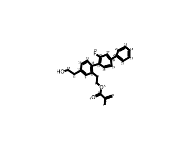 C=C(C)C(=O)OCCc1cc(CCO)ccc1-c1ccc(-c2ccccc2)cc1F